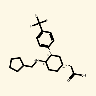 O=C(O)C[C@@H]1CC[C@@H](NCC2CCCC2)[C@H](c2ccc(C(F)(F)F)cc2)C1